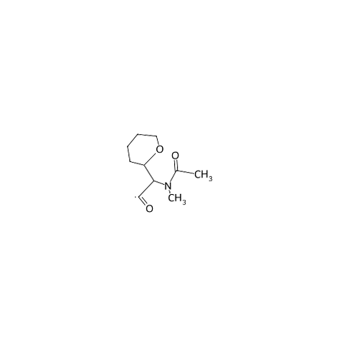 CC(=O)N(C)C([C]=O)C1CCCCO1